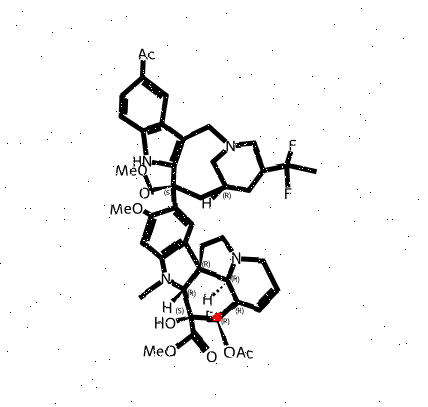 CC[C@]12C=CCN3CC[C@@]4(c5cc([C@@]6(C(=O)OC)C[C@H]7CC(C(C)(F)F)CN(Cc8c6[nH]c6ccc(C(C)=O)cc86)C7)c(OC)cc5N(C)[C@H]4[C@@](O)(C(=O)OC)[C@@H]1OC(C)=O)[C@@H]32